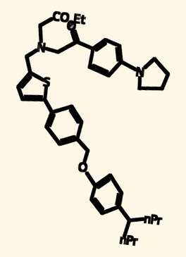 CCCC(CCC)c1ccc(OCc2ccc(-c3ccc(CN(CC(=O)OCC)CC(=O)c4ccc(N5CCCC5)cc4)s3)cc2)cc1